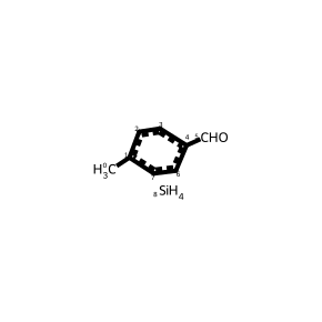 Cc1ccc(C=O)cc1.[SiH4]